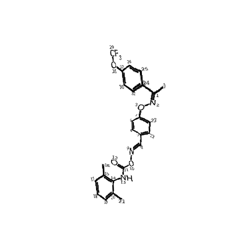 CC(=NOc1ccc(C=NOC(=O)Nc2c(C)cccc2C)cc1)c1ccc(OC(F)(F)F)cc1